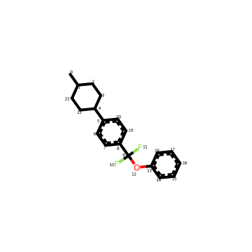 CC1CCC(c2ccc(C(F)(F)Oc3ccccc3)cc2)CC1